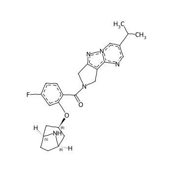 CC(C)c1cnc2c3c(nn2c1)CN(C(=O)c1ccc(F)cc1O[C@H]1C[C@H]2CC[C@@H](C1)N2)C3